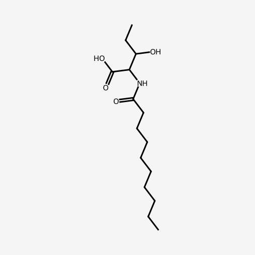 CCCCCCCCCC(=O)NC(C(=O)O)C(O)CC